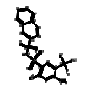 Nc1cc(Cl)c(S(=O)(=O)NS(=O)(=O)c2ccc3ccccc3c2)cc1C(F)(F)F